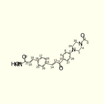 CC(=O)N1CCN(c2ccc(C(=O)/C=C/c3ccc(/C=C/C(=O)NO)cc3)cc2)CC1